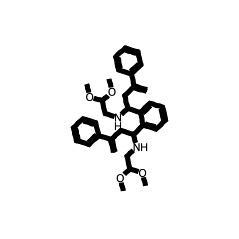 C=C(CC(NCC(OC)OC)c1ccccc1C(CC(=C)c1ccccc1)NCC(OC)OC)c1ccccc1